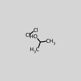 CC(C)O.ClCl